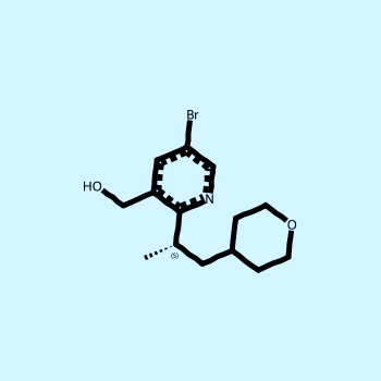 C[C@@H](CC1CCOCC1)c1ncc(Br)cc1CO